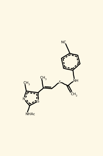 C=C(Nc1ccc(C#N)cc1)S/C=C(\C)c1sc(NC(C)=O)nc1C